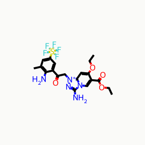 CCOC(=O)c1cn2c(N)n[n+](CC(=O)c3cc(S(F)(F)(F)(F)F)cc(C)c3N)c2cc1OCC